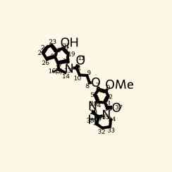 COc1cc2c(cc1OCCCC(=O)N1C[C@@H](C)c3c1cc(O)c1ccccc31)N=C[C@@H]1CCCCN1C2=O